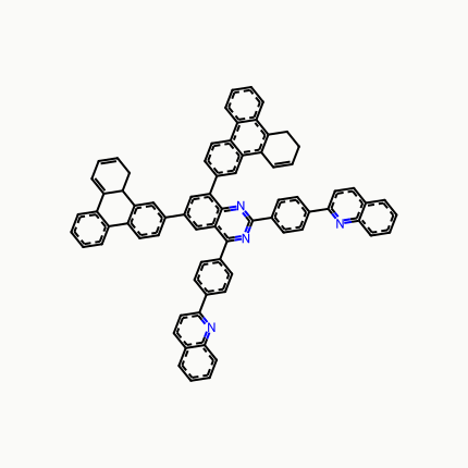 C1=CCC2C(=C1)c1ccccc1-c1ccc(-c3cc(-c4ccc5c(c4)c4c(c6ccccc65)CCC=C4)c4nc(-c5ccc(-c6ccc7ccccc7n6)cc5)nc(-c5ccc(-c6ccc7ccccc7n6)cc5)c4c3)cc12